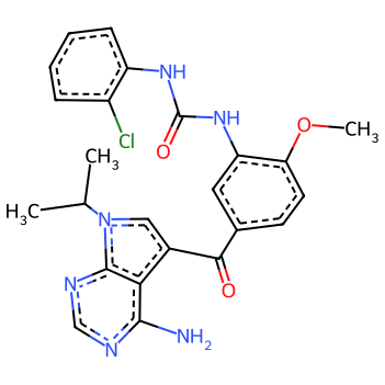 COc1ccc(C(=O)c2cn(C(C)C)c3ncnc(N)c23)cc1NC(=O)Nc1ccccc1Cl